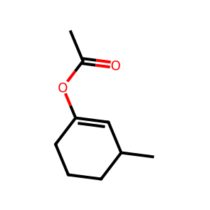 CC(=O)OC1=CC(C)CCC1